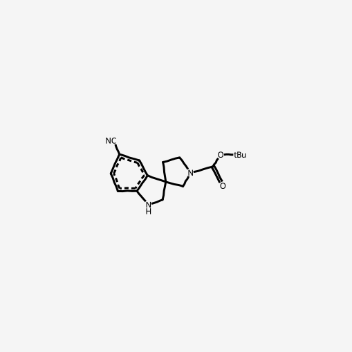 CC(C)(C)OC(=O)N1CCC2(CNc3ccc(C#N)cc32)C1